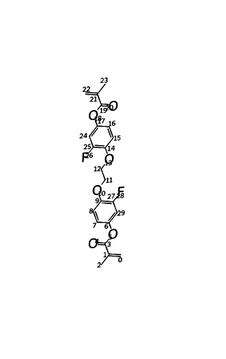 C=C(C)C(=O)Oc1ccc(OCCOc2ccc(OC(=O)C(=C)C)cc2F)c(F)c1